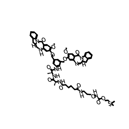 COc1cc2c(cc1OCc1cc(COc3cc4c(cc3OC)C(=O)N3c5ccccc5C[C@H]3CN4)cc(NC(=O)[C@H](C)NC(=O)[C@H](C)NC(=O)CCCCC(=O)NCCCONC(=O)OCC[Si](C)(C)C)c1)N=C[C@@H]1Cc3ccccc3N1C2=O